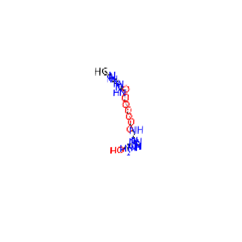 C#Cc1cnc(N2CCN(c3ncc(C(=O)NCCOCCOCCOCCOCCOCCC(=O)NCCCCn4nc(-c5cc6cc(O)ccc6[nH]5)c5c(N)ncnc54)cn3)CC2)nc1